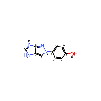 Oc1ccc(-n2cc3[nH][c]nc3n2)cc1